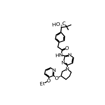 CCOc1cccnc1O[C@@H]1CCCN(c2ccnc(NC(=O)Cc3ccc(CC(C)(C)C(=O)O)cc3)n2)C1